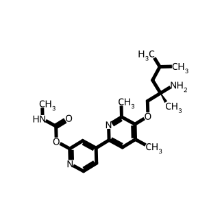 CNC(=O)Oc1cc(-c2cc(C)c(OC[C@@](C)(N)CC(C)C)c(C)n2)ccn1